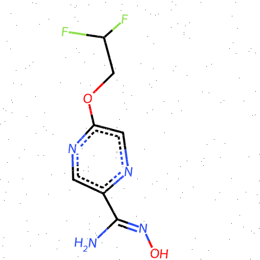 NC(=NO)c1cnc(OCC(F)F)cn1